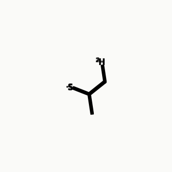 [2H]CC(C)[S]